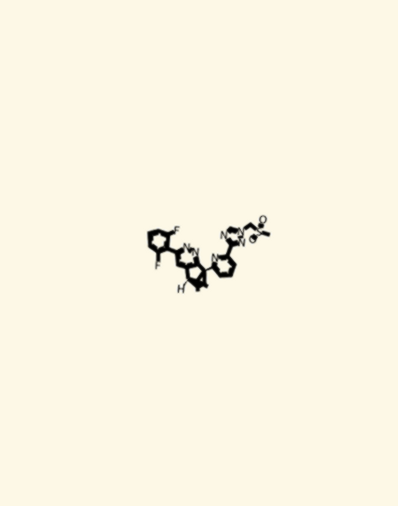 CC1(C)[C@H]2CC[C@@]1(c1cccc(-c3ncn(CS(C)(=O)=O)n3)n1)c1nnc(-c3c(F)cccc3F)cc12